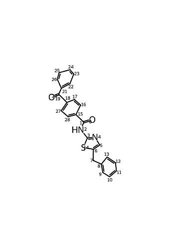 O=C(Nc1ncc(Cc2ccccc2)s1)c1ccc(C(=O)c2ccccc2)cc1